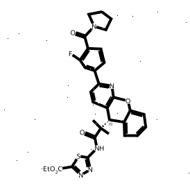 CCOC(=O)c1nnc(NC(=O)C(C)(C)[C@H]2c3ccccc3Oc3nc(-c4ccc(C(=O)N5CCCC5)c(F)c4)ccc32)s1